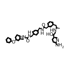 C[C@H](Cc1cccc(CC(=O)NCc2ccc(CNC(=O)NCc3cccc(Oc4ccccc4)c3)cc2)c1)NC[C@@H](O)c1ccc(N)nc1